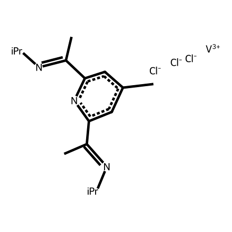 CC(=NC(C)C)c1cc(C)cc(C(C)=NC(C)C)n1.[Cl-].[Cl-].[Cl-].[V+3]